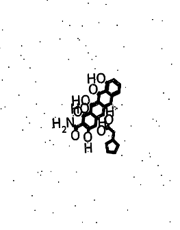 C[C@H]1c2cccc(O)c2C(=O)C2=C(O)[C@]3(O)C(=O)C(C(N)=O)=C(O)C[C@@H]3[C@@H](OC(=O)CC3CCCC3)[C@@H]21